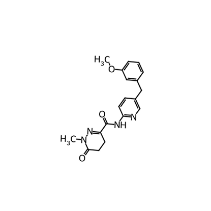 COc1cccc(Cc2ccc(NC(=O)C3=NN(C)C(=O)CC3)nc2)c1